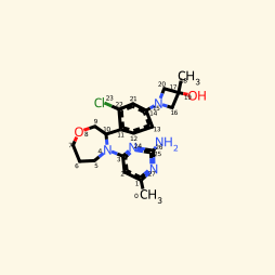 Cc1cc(N2CCCOCC2c2ccc(N3CC(C)(O)C3)cc2Cl)nc(N)n1